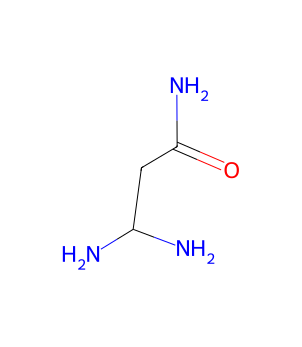 NC(=O)CC(N)N